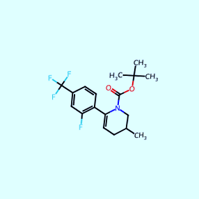 CC1CC=C(c2ccc(C(F)(F)F)cc2F)N(C(=O)OC(C)(C)C)C1